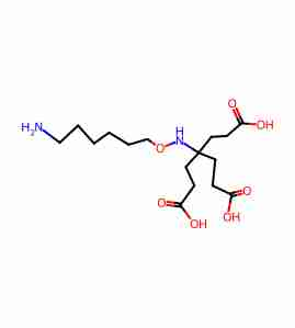 NCCCCCCONC(CCC(=O)O)(CCC(=O)O)CCC(=O)O